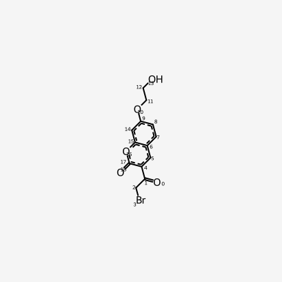 O=C(CBr)c1cc2ccc(OCCO)cc2oc1=O